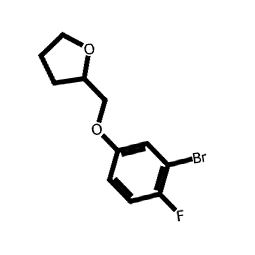 Fc1ccc(OCC2CCCO2)cc1Br